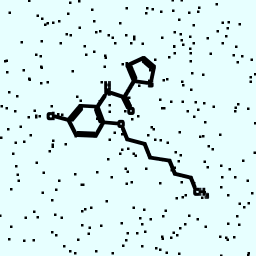 CCCCCCCOc1ccc(Cl)cc1NC(=O)c1cccs1